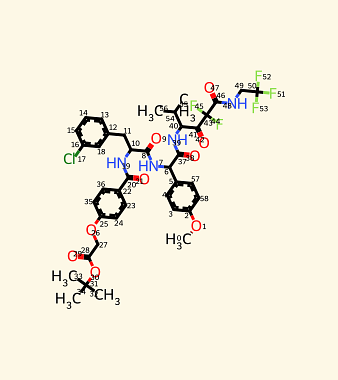 COc1ccc(C(NC(=O)C(Cc2cccc(Cl)c2)NC(=O)c2ccc(OCC(=O)OC(C)(C)C)cc2)C(=O)NC(C(=O)C(F)(F)C(=O)NCC(F)(F)F)C(C)C)cc1